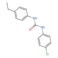 CCc1ccc(NC(=O)Nc2ccc(Cl)cc2)cc1